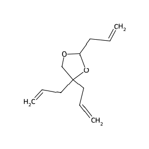 C=CC[C]1OCC(CC=C)(CC=C)O1